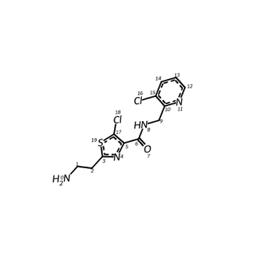 NCCc1nc(C(=O)NCc2ncccc2Cl)c(Cl)s1